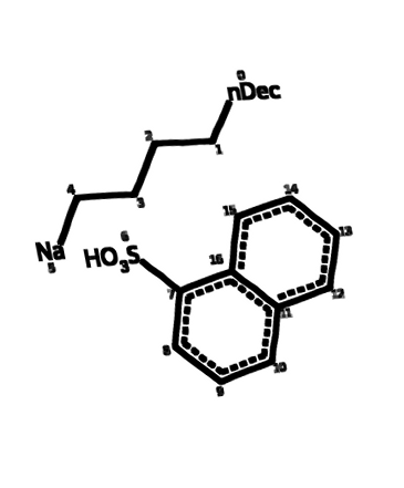 CCCCCCCCCCCCC[CH2][Na].O=S(=O)(O)c1cccc2ccccc12